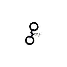 O=C(O)C(=C\C1=C\CCCCCCCC1)/C1=C/CCCCCCCC1